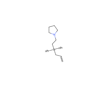 C=CC[Si](CCC)(CCC)CCN1CCCC1